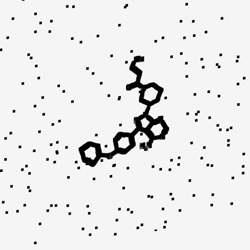 CC(C)(C)/C=C/C(=O)N1CCC[C@@H](n2nc(-c3ccc(Oc4ccccc4)cc3)c3c(N)ncnc32)C1